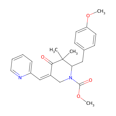 COC(=O)N1CC(=Cc2ccccn2)C(=O)C(C)(C)C1Cc1ccc(OC)cc1